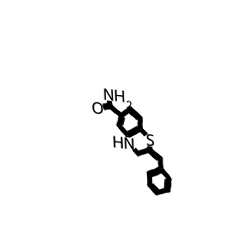 NC(=O)c1ccc2c(c1)NCC(=Cc1ccccc1)S2